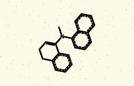 CN(C1=CCCc2ccccc21)c1cccc2ccccc12